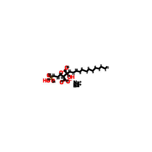 CCCCCCCCCCCCCC(O)(C(=O)[O-])C(CCCS(=O)(=O)O)C(=O)[O-].[Na+].[Na+]